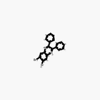 Brc1cc2nc(-c3ccccc3)c(-c3ccccc3)nc2cc1Br